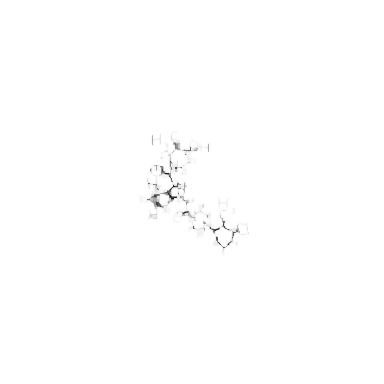 Cc1c(Cl)cccc1N1CCN(C(=O)Cn2nc(C(=O)N3CCC(O)C(C)C3)c3c2C[C@H]2C[C@@H]32)CC1